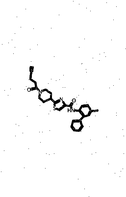 C#CCCC(=O)N1CCC(c2nc(C(=O)Nc3ccc(C)cc3-c3ccccc3)cs2)CC1